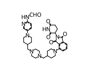 O=CNc1ccc(N2CCC(CN3CCN(CC4CCN(c5cccc6c5C(=O)N(C5CCC(=O)NC5=O)C6=O)CC4)CC3)CC2)cn1